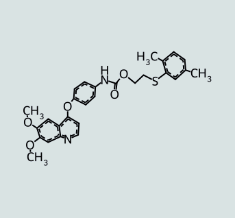 COc1cc2nccc(Oc3ccc(NC(=O)OCCSc4cc(C)ccc4C)cc3)c2cc1OC